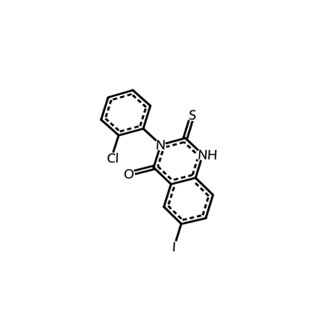 O=c1c2cc(I)ccc2[nH]c(=S)n1-c1ccccc1Cl